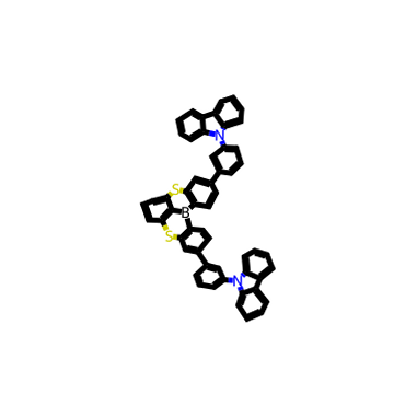 c1cc(-c2ccc3c(c2)Sc2cccc4c2B3c2ccc(-c3cccc(-n5c6ccccc6c6ccccc65)c3)cc2S4)cc(-n2c3ccccc3c3ccccc32)c1